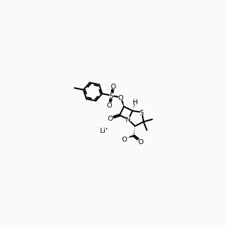 Cc1ccc(S(=O)(=O)O[C@@H]2C(=O)N3[C@@H]2SC(C)(C)[C@@H]3C(=O)[O-])cc1.[Li+]